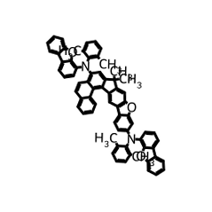 Cc1cccc(C)c1N(c1ccc2c(c1)oc1cc3c(cc12)-c1c(cc(N(c2c(C)cccc2C)c2cccc4c2oc2ccccc24)c2ccc4ccccc4c12)C3(C)C)c1cccc2c1oc1ccccc12